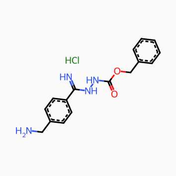 Cl.N=C(NNC(=O)OCc1ccccc1)c1ccc(CN)cc1